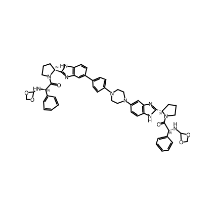 O=C([C@H](NC1OCO1)c1ccccc1)N1CCC[C@H]1c1nc2cc(-c3ccc(N4CCN(c5ccc6[nH]c([C@@H]7CCCN7C(=O)[C@H](NC7OCO7)c7ccccc7)nc6c5)CC4)cc3)ccc2[nH]1